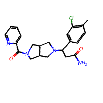 Cc1ccc(C(CC(N)=O)N2CC3CN(C(=O)c4ccccn4)CC3C2)cc1Cl